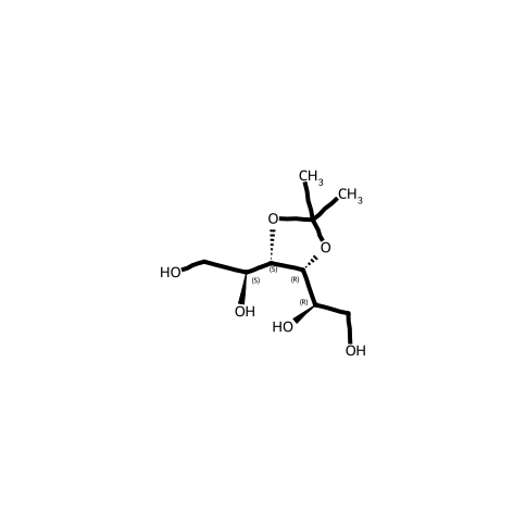 CC1(C)O[C@@H]([C@@H](O)CO)[C@@H]([C@H](O)CO)O1